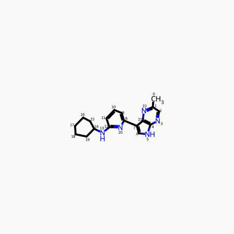 Cc1cnc2[nH]cc(-c3cccc(NC4CCCCC4)n3)c2n1